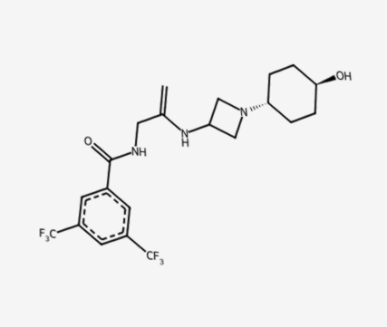 C=C(CNC(=O)c1cc(C(F)(F)F)cc(C(F)(F)F)c1)NC1CN([C@H]2CC[C@H](O)CC2)C1